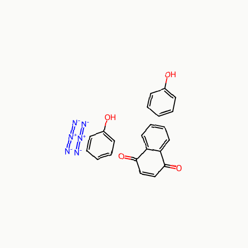 O=C1C=CC(=O)c2ccccc21.Oc1ccccc1.Oc1ccccc1.[N-]=[N+]=[N-].[N-]=[N+]=[N-]